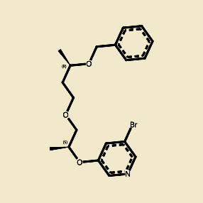 C[C@H](CCOC[C@H](C)Oc1cncc(Br)c1)OCc1ccccc1